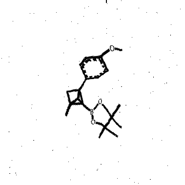 COc1ccc(C23CC(C)(C2)C3B2OC(C)(C)C(C)(C)O2)cc1